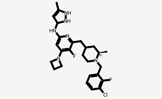 CC1=CC(Nc2cc(N3CCC3)c(F)c(CC3CCN(Cc4cccc(Cl)c4F)[C@H](C)C3)n2)NN1